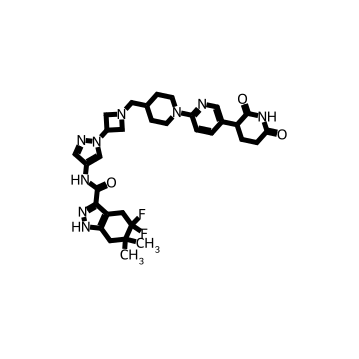 CC1(C)Cc2[nH]nc(C(=O)Nc3cnn(C4CN(CC5CCN(c6ccc(C7CCC(=O)NC7=O)cn6)CC5)C4)c3)c2CC1(F)F